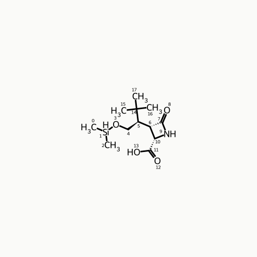 C[SiH](C)OC[C@H]([C@@H]1C(=O)N[C@@H]1C(=O)O)C(C)(C)C